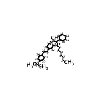 CCCCCCC[n+]1c(-c2ccccc2)c(C)n2ccc(/C=C/c3ccc(N(C)C)cc3)cc21